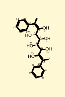 CC(=C(O)[C@@H](O)[C@@H](O)[C@H](O)[C@@H](O)C(O)=C(C)c1ccccc1)c1ccccc1